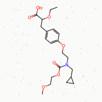 CCOC(Cc1ccc(OCCN(CC2CC2)C(=O)OCCOC)cc1)C(=O)O